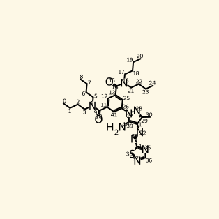 CCCCN(CCCC)C(=O)c1cc(C(=O)N(CCCC)CCCC)cc(-n2nc(C)c(N=Nc3ncns3)c2N)c1